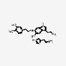 NCCc1c[nH]c2ccc(O)cc12.NCCc1c[nH]cn1.NCCc1ccc(O)c(O)c1